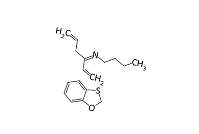 C=CCC(C=C)=NCCCC.c1ccc2c(c1)OCS2